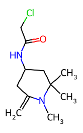 C=C1CC(NC(=O)CCl)CC(C)(C)N1C